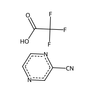 N#Cc1cnccn1.O=C(O)C(F)(F)F